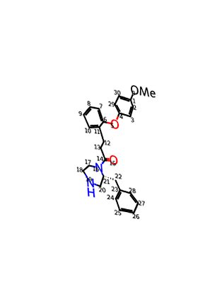 COc1ccc(Oc2ccccc2CCC(=O)N2CCNC[C@H]2Cc2ccccc2)cc1